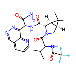 CC(C)C(NC(=O)C(F)(F)F)C(=O)N1C[C@H]2[C@@H]([C@H]1C(=O)NC(C(N)=O)c1nncc3cccnc13)C2(C)C